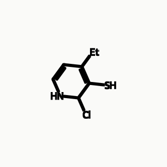 CCC1=C(S)C(Cl)NC=C1